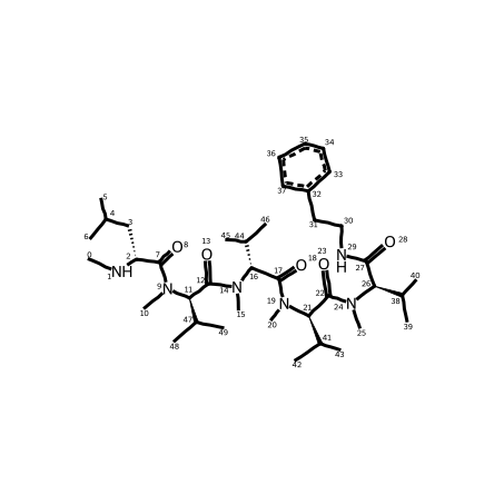 CN[C@H](CC(C)C)C(=O)N(C)[C@@H](C(=O)N(C)[C@@H](C(=O)N(C)[C@@H](C(=O)N(C)[C@@H](C(=O)NCCc1ccccc1)C(C)C)C(C)C)C(C)C)C(C)C